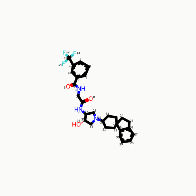 O=C(CNC(=O)c1cccc(C(F)(F)F)c1)NC1CN(C2CCC3(CCc4ccccc43)CC2)C[C@@H]1O